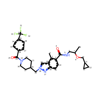 Cc1c(C(=O)NCC(C)OCC2CC2)ccc2nn(CC3CCN(C(=O)c4ccc(C(F)(F)F)cc4)CC3)cc12